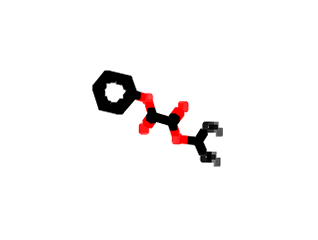 CC(C)OC(=O)C(=O)Oc1ccccc1